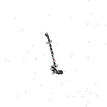 CCC1(OC(=O)OCCOCCOCCOCCOCCOCCNC(=O)CCCCC2CCSS2)C(=O)OCc2c1cc1n(c2=O)Cc2cc3ccccc3nc2-1